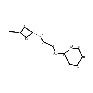 C[C@H]1C[C@H](OCCOC2CCCCO2)C1